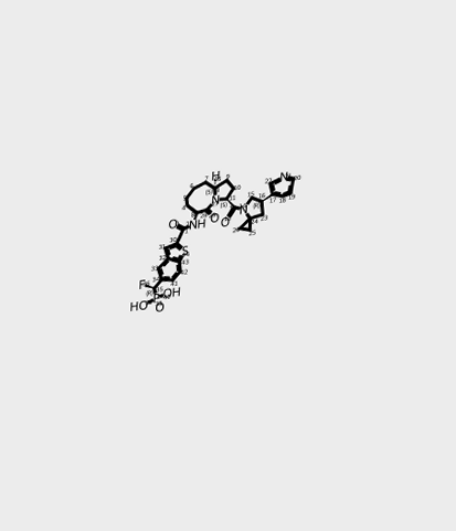 O=C(N[C@H]1CCCC[C@H]2CC[C@@H](C(=O)N3C[C@@H](c4cccnc4)CC34CC4)N2C1=O)c1cc2cc([C@H](F)P(=O)(O)O)ccc2s1